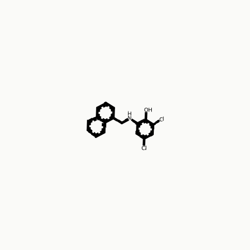 Oc1c(Cl)cc(Cl)cc1NCc1cccc2ccccc12